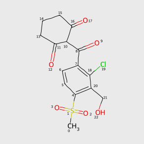 CS(=O)(=O)c1ccc(C(=O)C2C(=O)CCCC2=O)c(Cl)c1CO